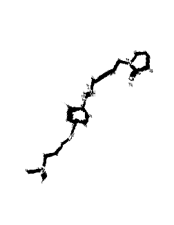 CN(C)CCCOc1ccc(SNCCCN2CCCC2=O)cc1